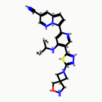 CC(C)Nc1cc(-c2ccc3cc(C#N)cnn23)ncc1-c1nnc(N2CC3(CNOC3)C2)s1